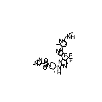 CCNCc1ccc(-n2cc(-c3nc(N[C@H]4CCN(S(=O)(=O)c5cn(C)cn5)C[C@H]4C)ncc3C(F)(F)F)cn2)c(C)n1